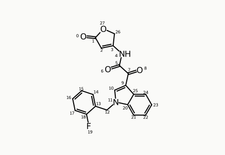 O=C1C=C(NC(=O)C(=O)c2cn(Cc3ccccc3F)c3ccccc23)CO1